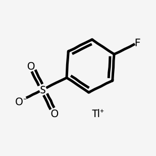 O=S(=O)([O-])c1ccc(F)cc1.[Tl+]